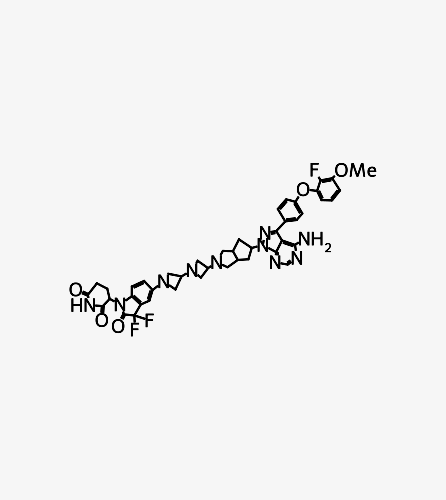 COc1cccc(Oc2ccc(-c3nn(C4CC5CN(C6CN(C7CN(c8ccc9c(c8)C(F)(F)C(=O)N9C8CCC(=O)NC8=O)C7)C6)CC5C4)c4ncnc(N)c34)cc2)c1F